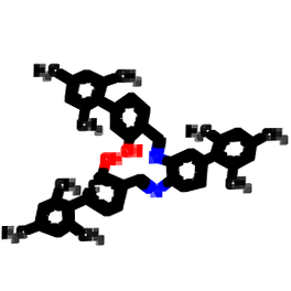 Cc1cc(C)c(-c2ccc(/C=N/c3ccc(-c4c(C)cc(C)cc4C)cc3/N=C/c3ccc(-c4c(C)cc(C)cc4C)cc3O)c(O)c2)c(C)c1